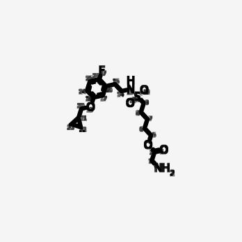 NCC(=O)OCCCCCS(=O)(=O)NCCc1cc(OCC2CC2)ccc1F